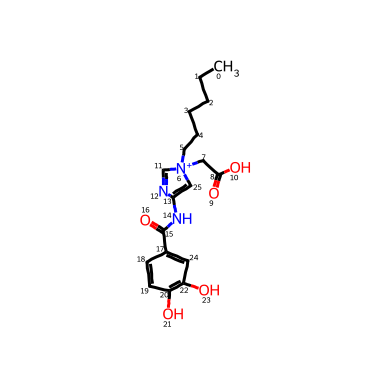 CCCCCC[N+]1(CC(=O)O)C=NC(NC(=O)c2ccc(O)c(O)c2)=C1